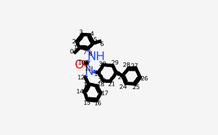 Cc1cccc(C)c1NC(=O)N(Cc1ccccc1)C1CCC(c2ccccc2)CC1